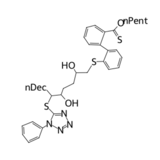 CCCCCCCCCCC(Sc1nnnn1-c1ccccc1)C(O)CCC(O)CSc1ccccc1-c1ccccc1C(=S)OCCCCC